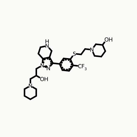 OC1CCCN(CCSc2cc(-c3nn(CC(O)CN4CCCCC4)c4c3CNCC4)ccc2C(F)(F)F)C1